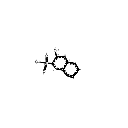 NS(=O)(=O)c1nc2ccccc2cc1O